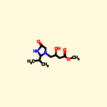 COC(=O)CC(O)CN1CC(=O)NC1C(C)C